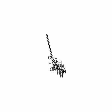 CCCCCCCCCCCCCCC(=O)NCC(=O)N[C@@H]1[C@@H](O)[C@H](O)[C@@H](Nc2ncnc3nc[nH]c23)O[C@H]1CO